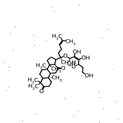 CC(C)=CCC[C@](C)(O[C@H](O)/C(O)=C(/O)[C@H](O)CCO)C1CC[C@]2(C)C1C(=O)CC1[C@@]3(C)CCC(=O)C(C)(C)C3CC[C@]12C